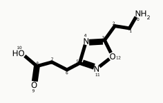 NCCc1nc(CCC(=O)O)no1